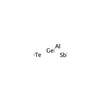 [Al].[Ge].[Sb].[Te]